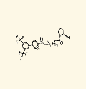 CC(C)(CNc1ccc(-c2cc(C(F)(F)F)cc(C(F)(F)F)c2)cn1)NCC(=O)N1CCCC1C#N